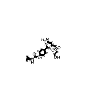 Nc1cc(CS(=O)(=O)CCO)nc(-c2ccc(NC(=O)NC3CC3)cc2)n1